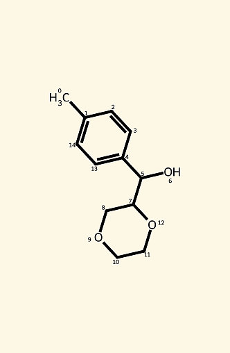 Cc1ccc(C(O)C2COCCO2)cc1